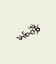 CCn1c(-c2ccn(C)n2)nc2c1CN([C@H]1CO[C@H](c3cc(F)ccc3F)[C@@H](N(C(=O)O)C(C)(C)C)C1)C2